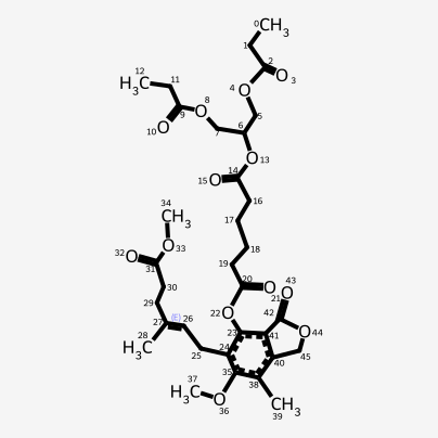 CCC(=O)OCC(COC(=O)CC)OC(=O)CCCCC(=O)Oc1c(C/C=C(\C)CCC(=O)OC)c(OC)c(C)c2c1C(=O)OC2